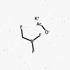 CC(=O)[O-].FCB(F)F.[K+]